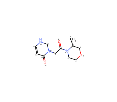 C[C@H]1COCCN1C(=O)CN1CNC=CC1=O